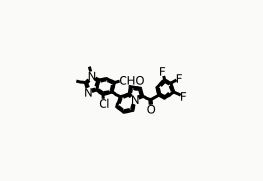 Cc1nc2c(Cl)c(-c3cccn4c(C(=O)c5cc(F)c(F)c(F)c5)ccc34)c(C=O)cc2n1C